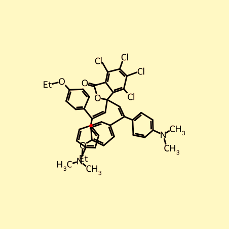 CCOc1ccc(/C(=C\C2(/C=C(\c3ccc(OCC)cc3)c3ccc(N(C)C)cc3)OC(=O)c3c(Cl)c(Cl)c(Cl)c(Cl)c32)c2ccc(N(C)C)cc2)cc1